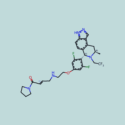 C[C@@H]1Cc2c(ccc3[nH]ncc23)[C@@H](c2c(F)cc(OCCNC/C=C/C(=O)N3CCCC3)cc2F)N1CC(F)(F)F